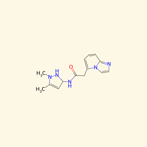 CC1=CC(NC(=O)Cc2cccc3nccn23)NN1C